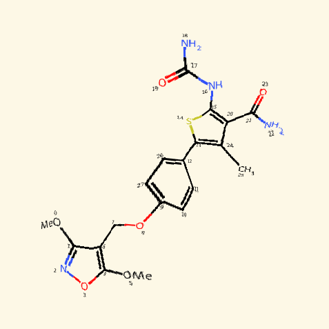 COc1noc(OC)c1COc1ccc(-c2sc(NC(N)=O)c(C(N)=O)c2C)cc1